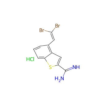 Cl.N=C(N)c1cc2c(C=C(Br)Br)cccc2s1